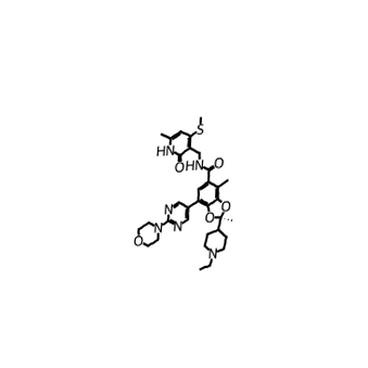 CCN1CCC([C@@]2(C)Oc3c(-c4cnc(N5CCOCC5)nc4)cc(C(=O)NCc4c(SC)cc(C)[nH]c4=O)c(C)c3O2)CC1